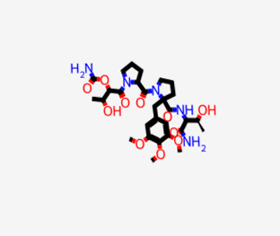 COc1cc(CC2(C(=O)NC(C(N)=O)[C@H](C)O)CCCN2C(=O)C2CCCN2C(=O)C(OC(N)=O)C(C)O)cc(OC)c1OC